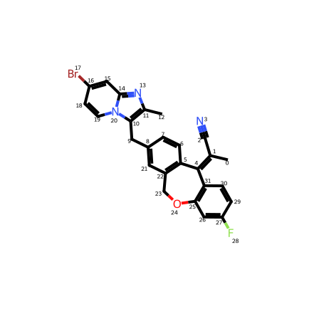 CC(C#N)=C1c2ccc(Cc3c(C)nc4cc(Br)ccn34)cc2COc2cc(F)ccc21